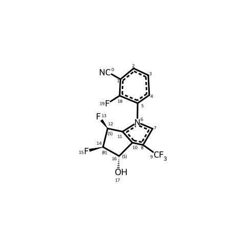 N#Cc1cccc(-n2cc(C(F)(F)F)c3c2[C@H](F)[C@H](F)[C@H]3O)c1F